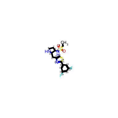 CCS(=O)(=O)NC1CCNC1Cc1csc(-c2cc(F)cc(F)c2)n1